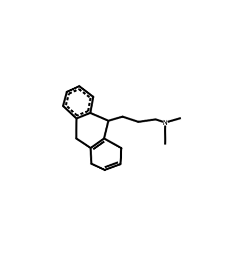 CN(C)CCCC1C2=C(CC=CC2)Cc2ccccc21